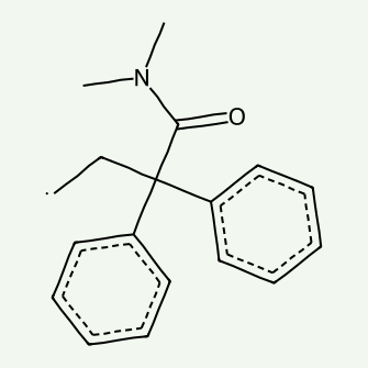 [CH2]CC(C(=O)N(C)C)(c1ccccc1)c1ccccc1